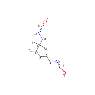 CC(CCCN=C=O)C(C)(C)CN=C=O